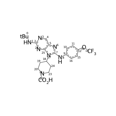 CC(C)(C)Nc1ncc2nc(Nc3ccc(OC(F)(F)F)cc3)n(C3CCN(C(=O)O)CC3)c2n1